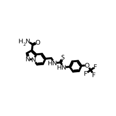 NC(=O)c1cnn2ccc(CNC(=S)Nc3ccc(OC(F)(F)F)cc3)cc12